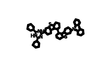 c1ccc(C2=NC(c3ccc4c(c3)sc3cccc(-c5cccc6sc7cc(-n8c9ccccc9c9ccccc98)ccc7c56)c34)NC(c3ccccc3)N2)cc1